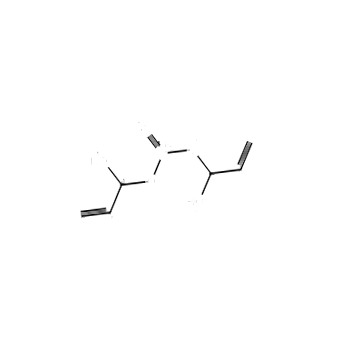 C=CC(O)O[PH](=O)OC(O)C=C